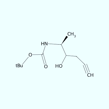 C#CCC(O)[C@H](C)NC(=O)OC(C)(C)C